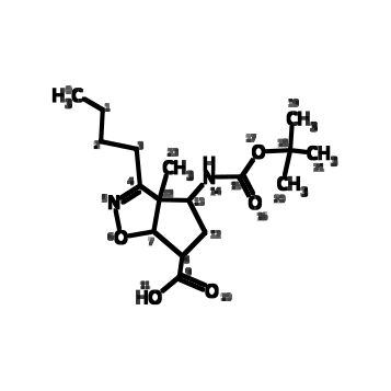 CCCCC1=NOC2C(C(=O)O)CC(NC(=O)OC(C)(C)C)C12C